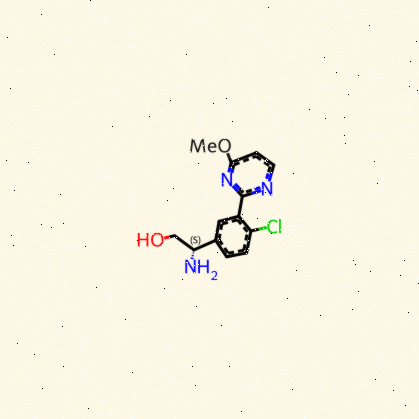 COc1ccnc(-c2cc([C@H](N)CO)ccc2Cl)n1